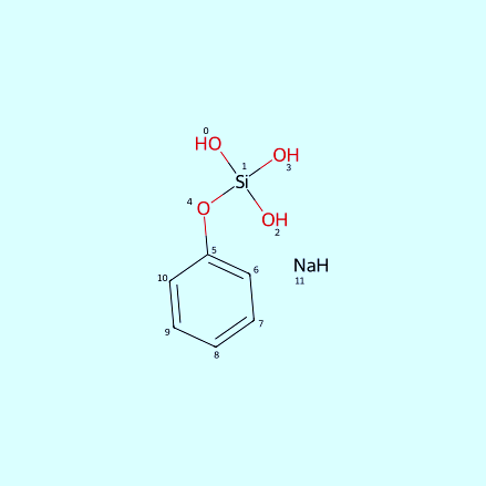 O[Si](O)(O)Oc1ccccc1.[NaH]